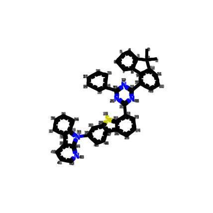 CC1(C)c2ccccc2-c2c(-c3nc(-c4ccccc4)nc(-c4cccc5c4sc4cc(-n6c7ccccc7c7cccnc76)ccc45)n3)cccc21